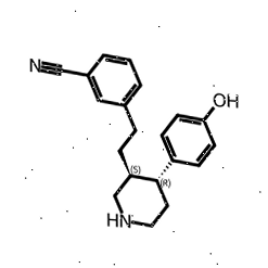 N#Cc1cccc(CC[C@@H]2CNCC[C@H]2c2ccc(O)cc2)c1